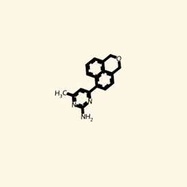 Cc1cc(-c2ccc3c4c(cccc24)COC3)nc(N)n1